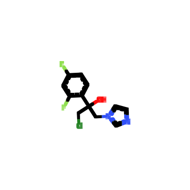 OC(CCl)(Cn1ccnc1)c1ccc(F)cc1F